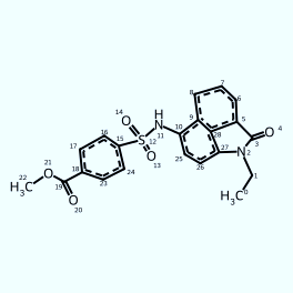 CCN1C(=O)c2cccc3c(NS(=O)(=O)c4ccc(C(=O)OC)cc4)ccc1c23